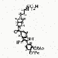 COc1ccc(-c2[nH]c3ccc(C(=O)N4CC5CN(CCCNC(=O)O)CC5C4)cc3c2C(C)C)cc1OC